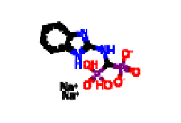 O=P([O-])([O-])C(Nc1nc2ccccc2[nH]1)P(=O)(O)O.[Na+].[Na+]